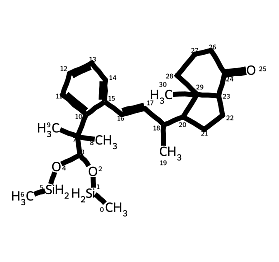 C[SiH2]OC(O[SiH2]C)C(C)(C)c1ccccc1C=CC(C)C1CCC2C(=O)CCCC21C